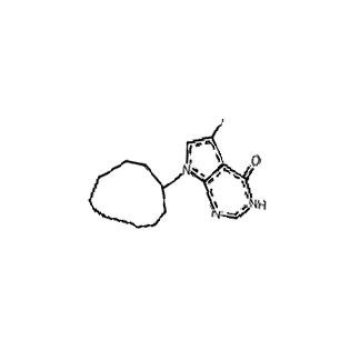 O=c1[nH]cnc2c1c(I)cn2C1CCCCCCCC1